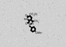 CCOC(=O)c1cc2c(C)nn(Cc3ccc(OC)cc3)c(=O)c2[nH]c1=O